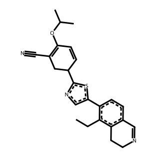 CCc1c(-c2cnc(C3C=CC(OC(C)C)=C(C#N)C3)s2)ccc2c1CCN=C2